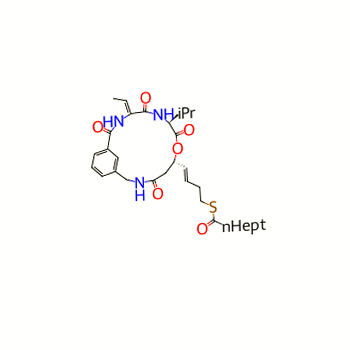 C/C=C1\NC(=O)c2cccc(c2)CNC(=O)C[C@@H](/C=C/CCSC(=O)CCCCCCC)OC(=O)[C@H](C(C)C)NC1=O